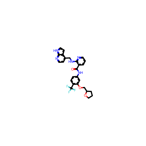 O=C(Nc1ccc(C(F)(F)F)c(OCC2CCCO2)c1)c1cccnc1NCc1ccnc2[nH]ccc12